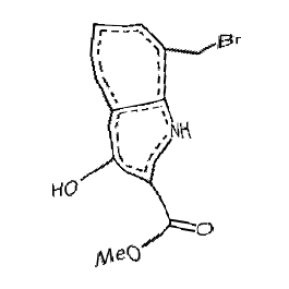 COC(=O)c1[nH]c2c(Br)cccc2c1O